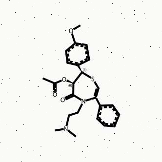 COc1ccc([C@H]2SC=C(c3ccccc3)N(CCN(C)C)C(=O)[C@H]2OC(C)=O)cc1